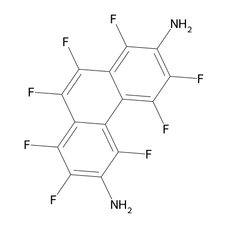 Nc1c(F)c(F)c2c(c1F)c(F)c(F)c1c(F)c(F)c(N)c(F)c12